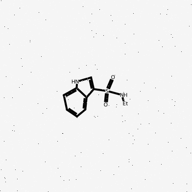 CCNS(=O)(=O)c1c[nH]c2ccccc12